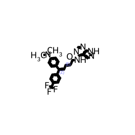 CN(C)c1ccc(/C(=C\C=C\C(=O)Nc2ncnc3[nH]ncc23)c2ccc(C(F)(F)F)cc2)cc1